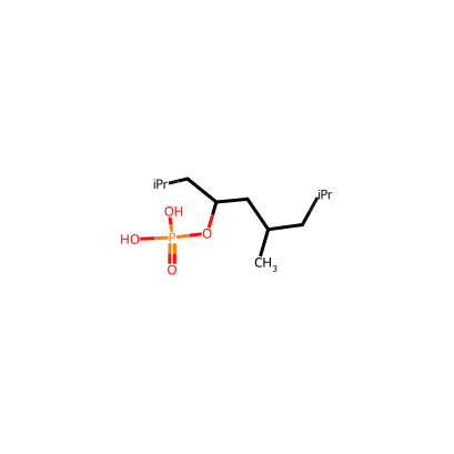 CC(C)CC(C)CC(CC(C)C)OP(=O)(O)O